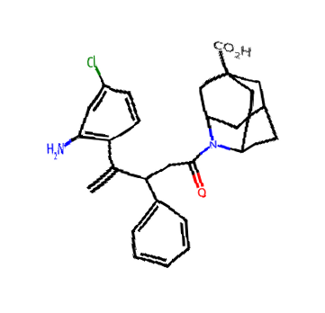 C=C(c1ccc(Cl)cc1N)C(CC(=O)N1C2CC3CC1CC(C(=O)O)(C3)C2)c1ccccc1